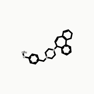 CCCCOc1ccc(CN2CCN(C3C=CC4=C(CCC=C4)c4ccccc43)CC2)cc1